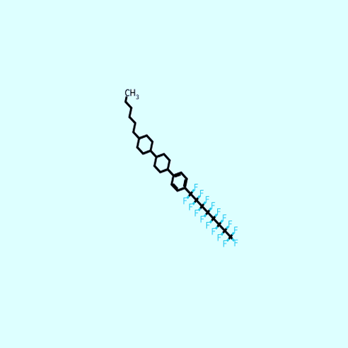 CCCCCCC1CCC(C2CCC(c3ccc(C(F)(F)C(F)(F)C(F)(F)C(F)(F)C(F)(F)C(F)(F)C(F)(F)C(F)(F)F)cc3)CC2)CC1